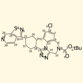 CC(C)(C)OC(=O)N1Cc2cc(Cl)ccc2-n2c(nnc2C2CCC(c3nsc4cnccc34)CC2)C1